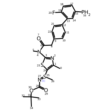 Cc1nc(N(C)C(=O)Cc2ccc(-c3cc(P)ccc3F)cc2)sc1/S(C)=N/C(=O)OC(C)(C)C